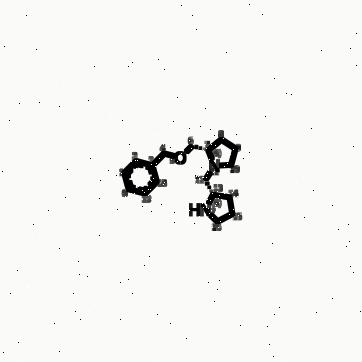 c1ccc(COC[C@@H]2CCCN2C[C@@H]2CCCN2)cc1